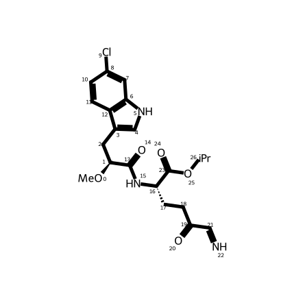 CO[C@@H](Cc1c[nH]c2cc(Cl)ccc12)C(=O)N[C@@H](CCC(=O)C=N)C(=O)OC(C)C